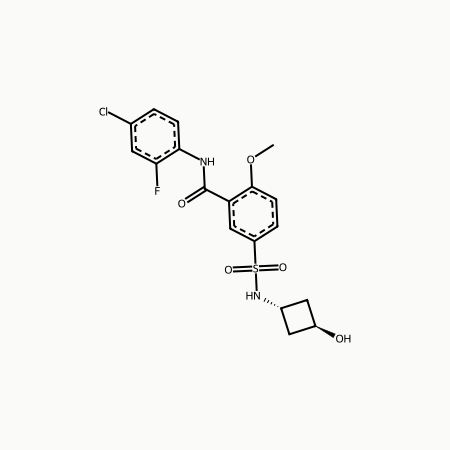 COc1ccc(S(=O)(=O)N[C@H]2C[C@H](O)C2)cc1C(=O)Nc1ccc(Cl)cc1F